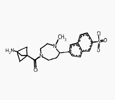 CN1CCN(C(=O)C23CC(N)(C2)C3)CCC1c1ccc2cc(S(=O)(=O)Cl)ccc2c1